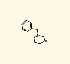 c1ccc(CN2CCCNC2)cc1